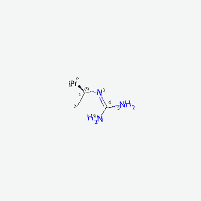 CC(C)[C@H](C)N=C(N)N